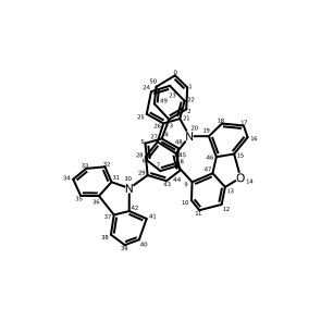 c1ccc(-c2cccc(-c3cccc4oc5cccc(-n6c7ccccc7c7cc(-n8c9ccccc9c9ccccc98)ccc76)c5c34)c2)cc1